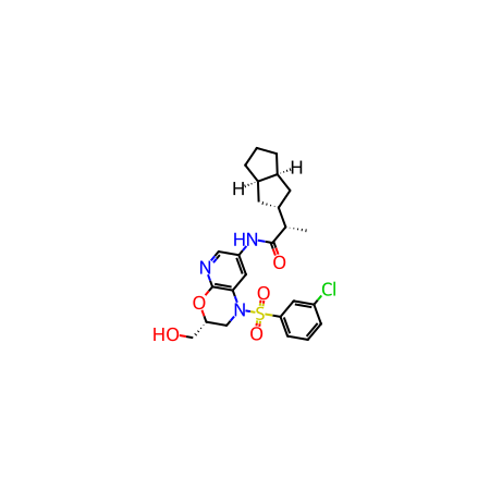 C[C@H](C(=O)Nc1cnc2c(c1)N(S(=O)(=O)c1cccc(Cl)c1)C[C@H](CO)O2)[C@@H]1C[C@H]2CCC[C@H]2C1